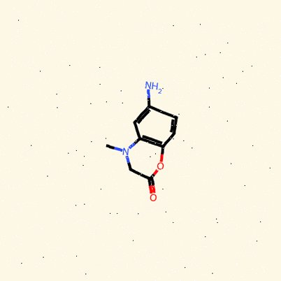 CN1CC(=O)Oc2ccc(N)cc21